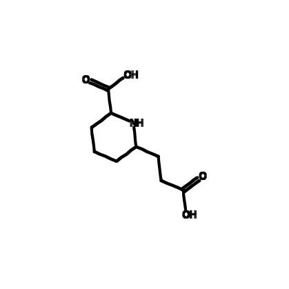 O=C(O)CCC1CCCC(C(=O)O)N1